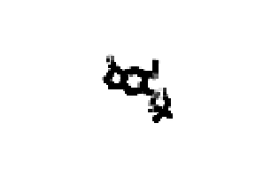 COc1cc2c(cc1B1OCC(C)(C)O1)CCC2=O